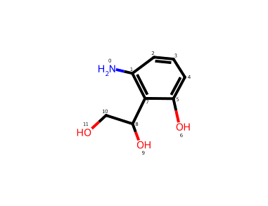 Nc1cccc(O)c1C(O)CO